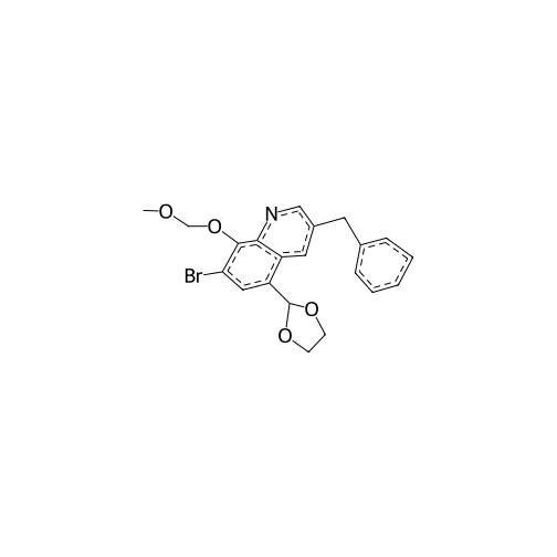 COCOc1c(Br)cc(C2OCCO2)c2cc(Cc3ccccc3)cnc12